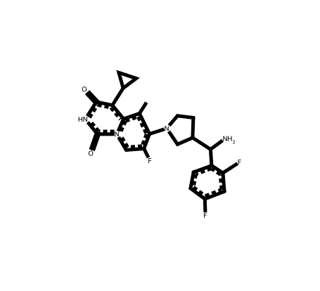 Cc1c(N2CCC(C(N)c3ccc(F)cc3F)C2)c(F)cn2c(=O)[nH]c(=O)c(C3CC3)c12